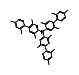 Cc1ccc(-c2cc(C)c(N(c3cc(C)c(-c4ccc(C)cc4C)cc3C)c3cc(C)c(-c4ccc(C)cc4C)cc3C)cc2C)c(C)c1